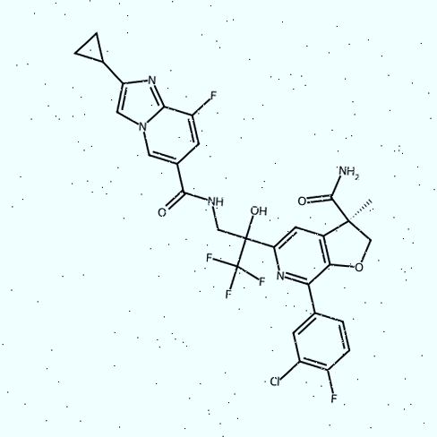 C[C@]1(C(N)=O)COc2c1cc(C(O)(CNC(=O)c1cc(F)c3nc(C4CC4)cn3c1)C(F)(F)F)nc2-c1ccc(F)c(Cl)c1